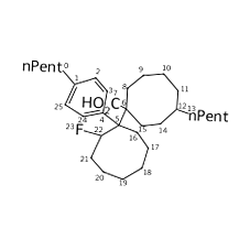 CCCCCc1ccc(C2(C3(C(=O)O)CCCCC(CCCCC)CC3)CCCCCCC2F)cc1